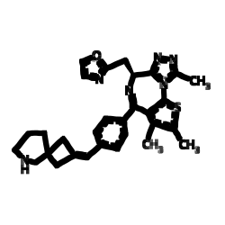 Cc1sc2c(c1C)C(c1ccc(C=C3CC4(CCCNC4)C3)cc1)=N[C@@H](Cc1ncco1)c1nnc(C)n1-2